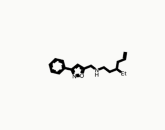 C=CCC(CC)CCNCc1cc(-c2ccccc2)no1